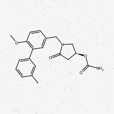 COc1ccc(CN2C[C@@H](OC(N)=O)CC2=O)cc1-c1cccc(C)c1